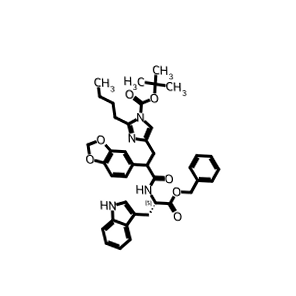 CCCCc1nc(CC(C(=O)N[C@@H](Cc2c[nH]c3ccccc23)C(=O)OCc2ccccc2)c2ccc3c(c2)OCO3)cn1C(=O)OC(C)(C)C